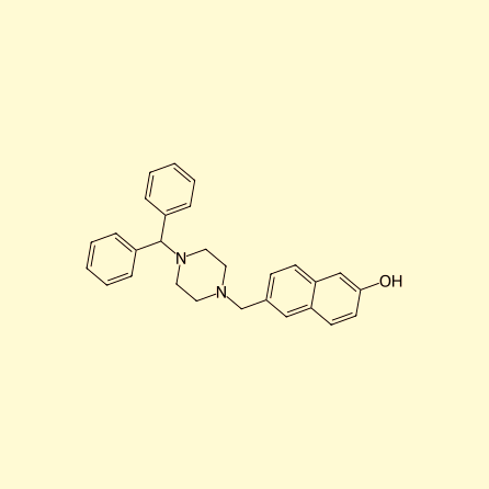 Oc1ccc2cc(CN3CCN(C(c4ccccc4)c4ccccc4)CC3)ccc2c1